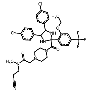 CCOc1cc(C(F)(F)F)ccc1C1(C(=O)N2CCN(CC(=O)N(C)CCC#N)CC2)NC(c2ccc(Cl)cc2)C(c2ccc(Cl)cc2)N1